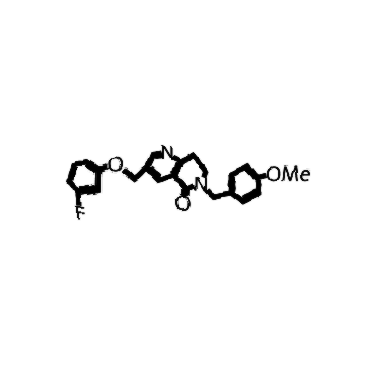 COc1ccc(CN2CCc3ncc(COc4cccc(F)c4)cc3C2=O)cc1